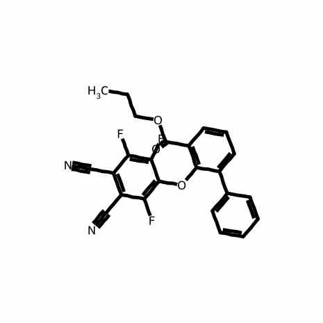 CCCOC(=O)c1cccc(-c2ccccc2)c1Oc1c(F)c(F)c(C#N)c(C#N)c1F